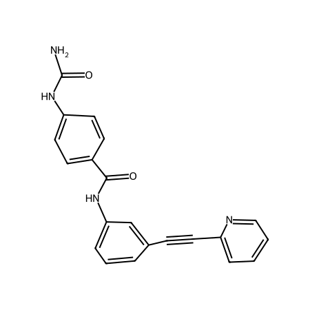 NC(=O)Nc1ccc(C(=O)Nc2cccc(C#Cc3ccccn3)c2)cc1